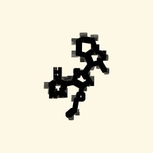 C=CCOc1nc(-c2c(C)nn3ccccc23)sc1-c1nnc[nH]1